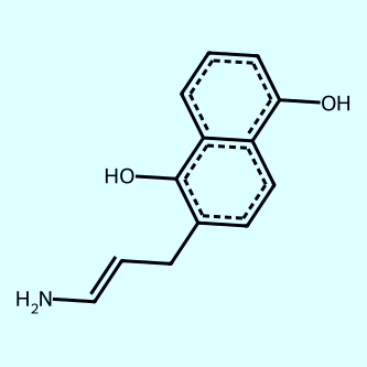 NC=CCc1ccc2c(O)cccc2c1O